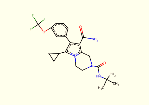 CC(C)(C)NC(=O)N1CCn2c(c(C(N)=O)c(-c3cccc(OC(F)(F)F)c3)c2C2CC2)C1